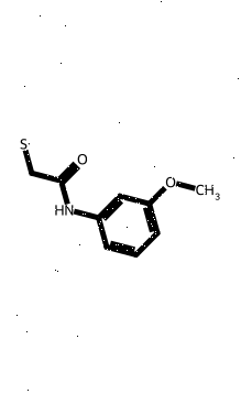 COc1cccc(NC(=O)C[S])c1